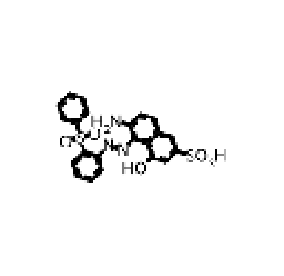 Nc1ccc2cc(S(=O)(=O)O)cc(O)c2c1N=Nc1ccccc1S(=O)(=O)c1ccccc1